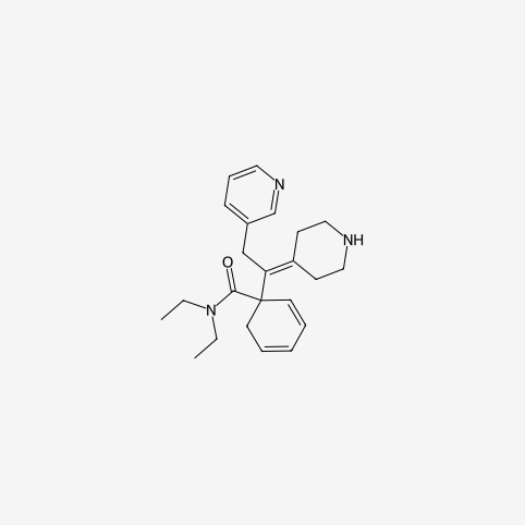 CCN(CC)C(=O)C1(C(Cc2cccnc2)=C2CCNCC2)C=CC=CC1